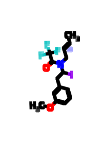 C/C=C/CN(C(=O)C(F)(F)F)C(I)Cc1cccc(OC)c1